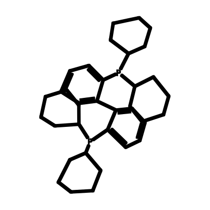 c1ccc(P(C2CCCCC2)C2CCCCC2)c(-c2ccccc2P(C2CCCCC2)C2CCCCC2)c1